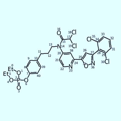 CCOP(=O)(OCC)Oc1ccc(CCCN(C(=O)C(Cl)Cl)c2ccnc(-c3cc(-c4c(Cl)cccc4Cl)no3)c2)cc1